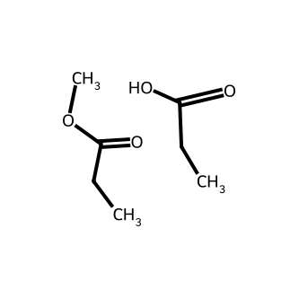 CCC(=O)O.CCC(=O)OC